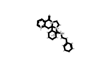 C=C1c2cccnc2CC2(C3CCCCC3)N1CCN2C(=O)NCCC1=CCCC=C1